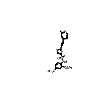 COc1cc(C(=O)O)ccc1NS(=O)(=O)c1csc(C#Cc2ccnc(C)c2)n1